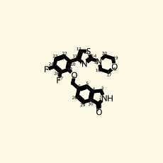 O=C1NCc2cc(COc3c(-c4csc(N5CCOCC5)n4)ccc(F)c3F)ccc21